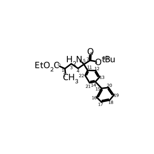 CCOC(=O)C(C)CCC(N)(C(=O)OC(C)(C)C)c1ccc(-c2ccccc2)cc1